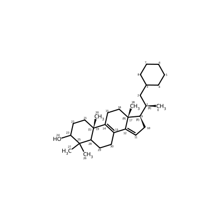 C[C@H](CC1CCCCC1)[C@H]1CC=C2C3=C(CC[C@@]21C)[C@@]1(C)CCC(O)C(C)(C)C1CC3